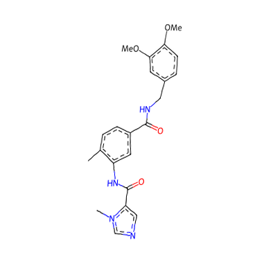 COc1ccc(CNC(=O)c2ccc(C)c(NC(=O)c3cncn3C)c2)cc1OC